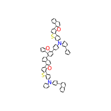 c1ccc(-c2cccc(N(c3ccc(-c4ccc(-c5cccc6c5ccc5oc7c(ccc8sc9cc(N(c%10ccccc%10)c%10ccc(-c%11cccc%12ccccc%11%12)cc%10)ccc9c87)c56)c5c4oc4ccccc45)cc3)c3ccc4c(c3)sc3ccc5c(oc6ccc7ccccc7c65)c34)c2)cc1